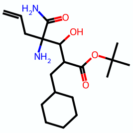 C=CCC(N)(C(N)=O)C(O)C(CC1CCCCC1)C(=O)OC(C)(C)C